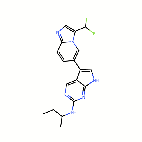 CCC(C)Nc1ncc2c(-c3ccc4ncc(C(F)F)n4c3)c[nH]c2n1